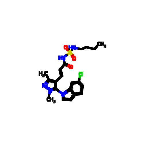 CCCCNS(=O)(=O)NC(=O)C=Cc1c(C)nn(C)c1-n1ccc2ccc(Cl)cc21